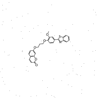 COc1cc(-c2nc3ccccc3s2)ccc1OCCCOc1ccc2ccc(=O)oc2c1